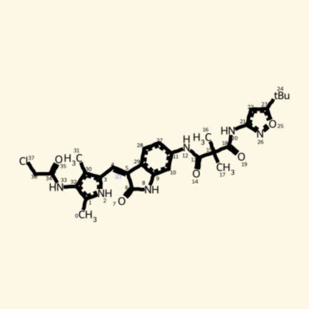 Cc1[nH]c(/C=C2\C(=O)Nc3cc(NC(=O)C(C)(C)C(=O)Nc4cc(C(C)(C)C)on4)ccc32)c(C)c1NC(=O)CCl